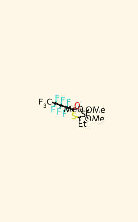 CCC(SC(=O)C(F)(F)C(F)(F)C(F)(F)C(F)(F)F)[Si](OC)(OC)OC